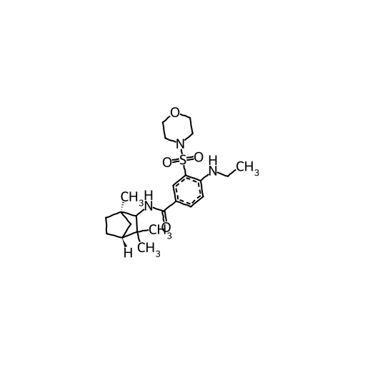 CCNc1ccc(C(=O)NC2C(C)(C)[C@@H]3CC[C@]2(C)C3)cc1S(=O)(=O)N1CCOCC1